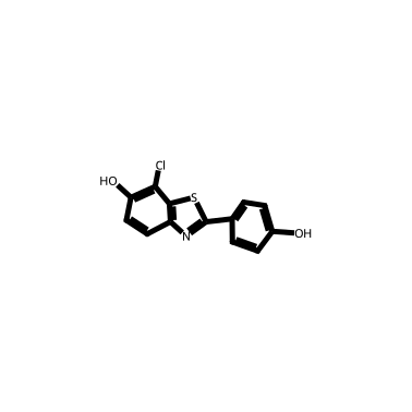 Oc1ccc(-c2nc3ccc(O)c(Cl)c3s2)cc1